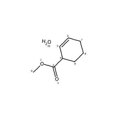 COC(=O)C1C=CCCC1.O